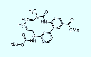 C=CC[C@H](NC(=O)OC(C)(C)C)c1cc(-c2cc(C(=O)OC)ccc2NC(=O)[C@H](C)C=C)ccn1